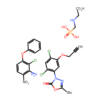 C#CCOc1cc(-n2nc(C(C)(C)C)oc2=O)c(Cl)cc1Cl.Nc1c([N+](=O)[O-])ccc(Oc2ccccc2)c1Cl.O=C(O)CNCP(=O)(O)O